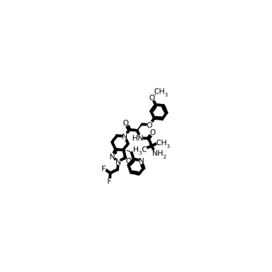 COc1cccc(OC[C@@H](NC(=O)C(C)(C)N)C(=O)N2CCC3=NN(CC(F)F)C(=O)[C@]3(Cc3ccccn3)C2)c1